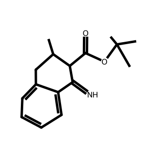 CC1Cc2ccccc2C(=N)C1C(=O)OC(C)(C)C